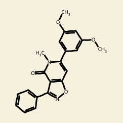 COc1cc(OC)cc(-c2cc3onc(-c4ccccc4)c3c(=O)n2C)c1